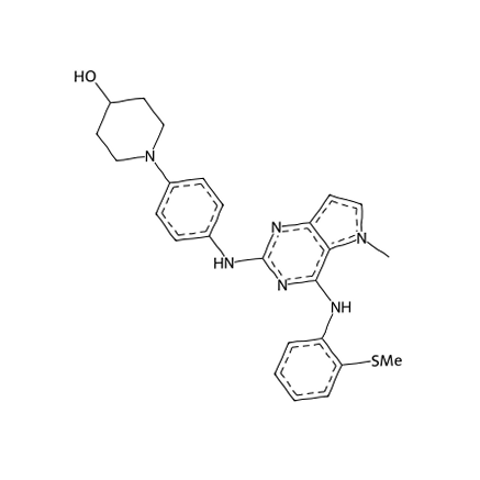 CSc1ccccc1Nc1nc(Nc2ccc(N3CCC(O)CC3)cc2)nc2ccn(C)c12